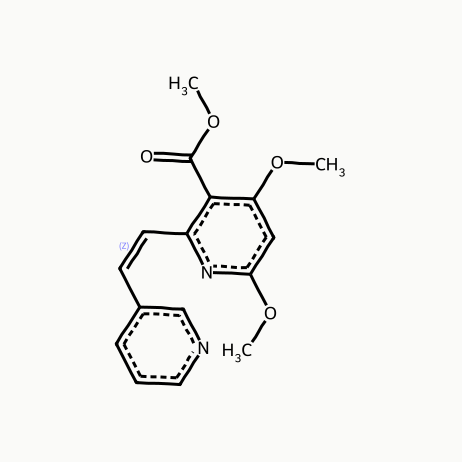 COC(=O)c1c(OC)cc(OC)nc1/C=C\c1cccnc1